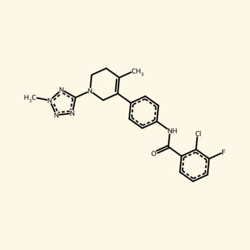 CC1=C(c2ccc(NC(=O)c3cccc(F)c3Cl)cc2)CN(c2nnn(C)n2)CC1